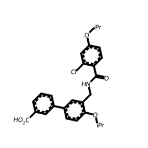 CC(C)Oc1ccc(C(=O)NCc2cc(-c3cccc(C(=O)O)c3)ccc2OC(C)C)c(Cl)c1